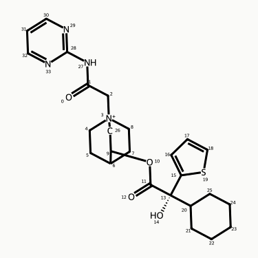 O=C(C[N+]12CCC(CC1)C(OC(=O)[C@@](O)(c1cccs1)C1CCCCC1)C2)Nc1ncccn1